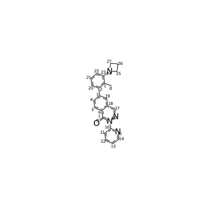 Cc1c(-c2ccc3c(=O)n(-c4ccccn4)ncc3c2)cccc1N1CCC1